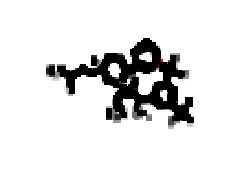 C[C@@H](OC[C@@]1(c2ccccc2)CC[C@](I)(CCC(N)=O)CN1C(=O)CN)c1cc(C(F)(F)F)cc(C(F)(F)F)c1